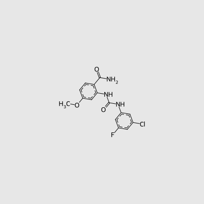 COc1ccc(C(N)=O)c(NC(=O)Nc2cc(F)cc(Cl)c2)c1